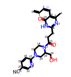 C=C/C=C\c1c(C)nc(CCC(=O)N2CCN(c3ccc(C#N)cn3)CC2CO)[nH]c1=O